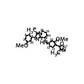 COc1cccc(-c2nc3c(Nc4ccc(-c5ocnc5C)c(OC)c4)cccn3c2C)c1